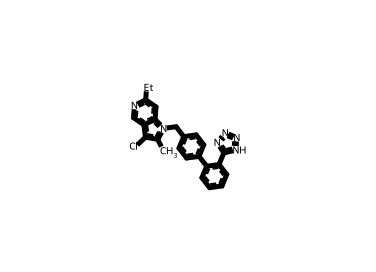 CCc1cc2c(cn1)c(Cl)c(C)n2Cc1ccc(-c2ccccc2-c2nnn[nH]2)cc1